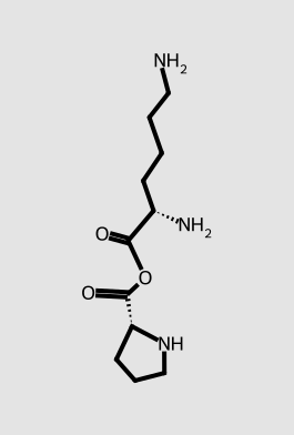 NCCCC[C@H](N)C(=O)OC(=O)[C@H]1CCCN1